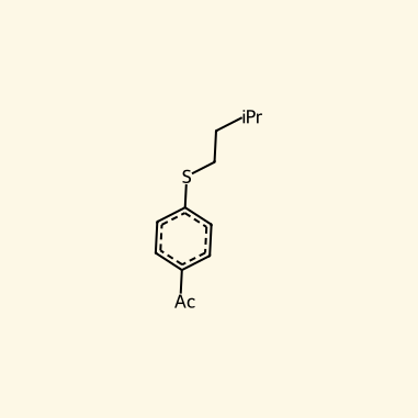 CC(=O)c1ccc(SCCC(C)C)cc1